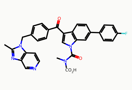 Cc1nc2cnccc2n1Cc1ccc(C(=O)c2cn(C(=O)N(C)C(=O)O)c3cc(-c4ccc(F)cc4)ccc23)cc1